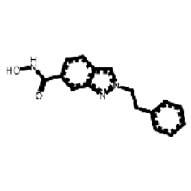 O=C(NO)c1ccc2cn(CCc3ccccc3)nc2c1